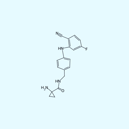 N#Cc1ccc(F)cc1Nc1ccc(CNC(=O)C2(N)CC2)cc1